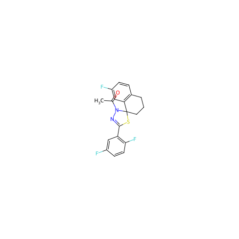 CC(=O)N1N=C(c2cc(F)ccc2F)SC12CCCc1ccc(F)cc12